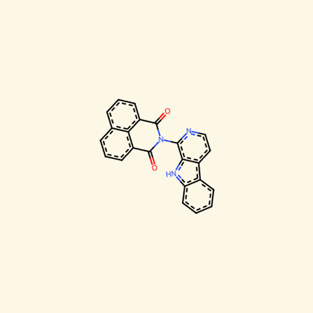 O=C1c2cccc3cccc(c23)C(=O)N1c1nccc2c1[nH]c1ccccc12